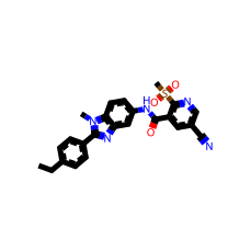 CCc1ccc(-c2nc3cc(NC(=O)c4cc(C#N)cnc4S(C)(=O)=O)ccc3n2C)cc1